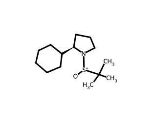 CC(C)(C)[S+]([O-])N1CCC[C@@H]1C1CCCCC1